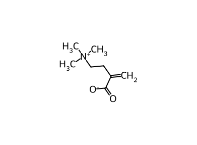 C=C(CC[N+](C)(C)C)C(=O)[O-]